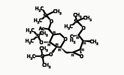 CC(=O)C(O[Si](C)(C)C)[C@H]1CO[C@H](C[C@@H]2O[C@H]2[C@H](C)[C@H](C)O[Si](C)(C)C)[C@@H](O[Si](C)(C)C)[C@@H]1O[Si](C)(C)C